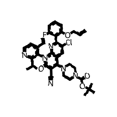 C=CCOc1cccc(F)c1-c1nc2c(cc1Cl)c(N1CCN(C(=O)OC(C)(C)C)CC1)c(C#N)c(=O)n2-c1c(C=C)ccnc1C(C)C